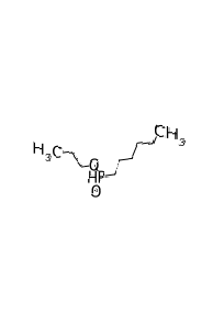 CCCCCC[PH](=O)OCCC